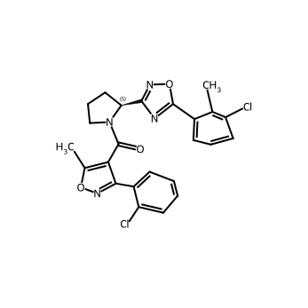 Cc1onc(-c2ccccc2Cl)c1C(=O)N1CCC[C@H]1c1noc(-c2cccc(Cl)c2C)n1